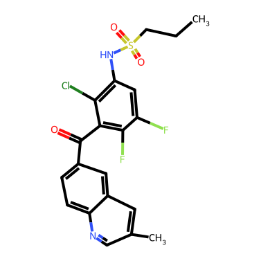 CCCS(=O)(=O)Nc1cc(F)c(F)c(C(=O)c2ccc3ncc(C)cc3c2)c1Cl